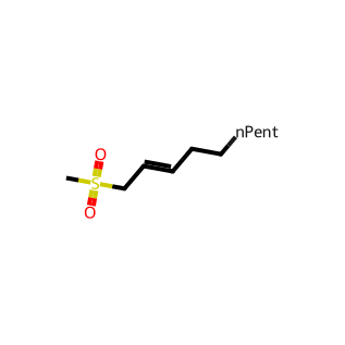 CCCCCCCC=CCS(C)(=O)=O